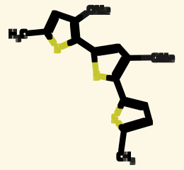 COc1cc(C)sc1-c1cc(OC)c(-c2ccc(C)s2)s1